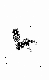 CC1(C)O[C@@H]2[C@H](O1)[C@@H](COP1(=O)OCc3ccccc3CO1)O[C@H]2NC(=O)C(N)C(N)=O